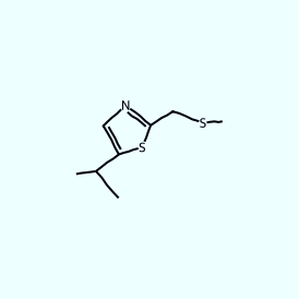 CSCc1ncc(C(C)C)s1